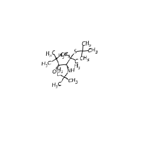 CC(C)(C)N[C@@H](C(=O)C(C)(C)C)C(C)(C)SC(C)(C)C